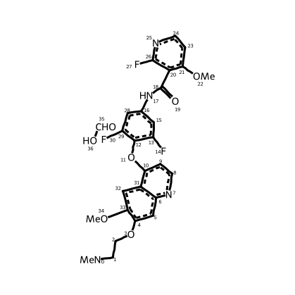 CNCCOc1cc2nccc(Oc3c(F)cc(NC(=O)c4c(OC)ccnc4F)cc3F)c2cc1OC.O=CO